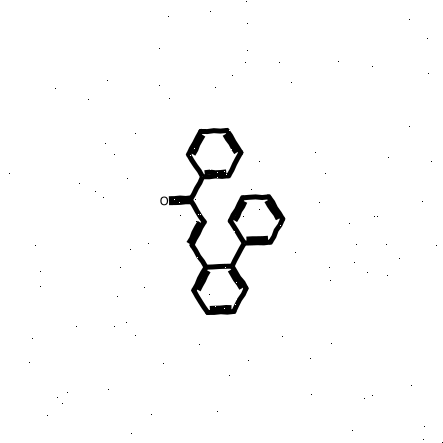 O=C(C=Cc1ccccc1-c1ccccc1)c1ccccc1